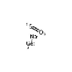 O=S.[Ge].[Na]